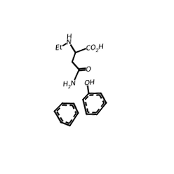 CCNC(CC(N)=O)C(=O)O.Oc1ccccc1.c1ccccc1